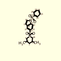 CC1CC(C)CN(S(=O)(=O)c2ccc3c(ccn3S(=O)(=O)c3ccccc3)c2)C1